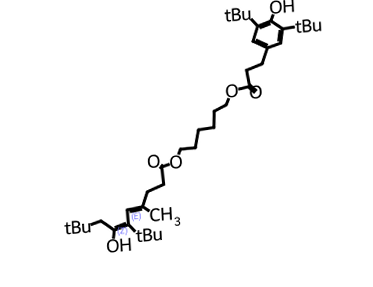 C/C(=C\C(=C(\O)CC(C)(C)C)C(C)(C)C)CCC(=O)OCCCCCCOC(=O)CCc1cc(C(C)(C)C)c(O)c(C(C)(C)C)c1